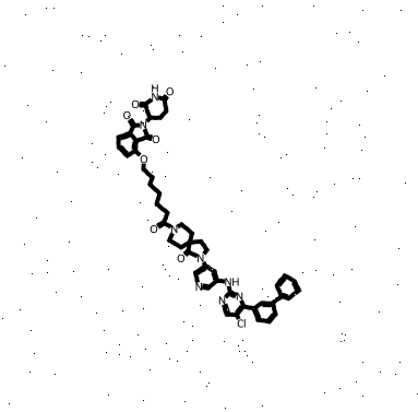 O=C1CCC(N2C(=O)c3cccc(OCCCCCCC(=O)N4CCC5(CC4)CCN(c4cncc(Nc6ncc(Cl)c(-c7cccc(-c8ccccc8)c7)n6)c4)C5=O)c3C2=O)C(=O)N1